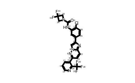 O=C(Nc1cc(-c2cn3nc(-c4cccnc4C(F)(F)F)ccc3n2)ccc1Cl)N1CC(F)(F)C1